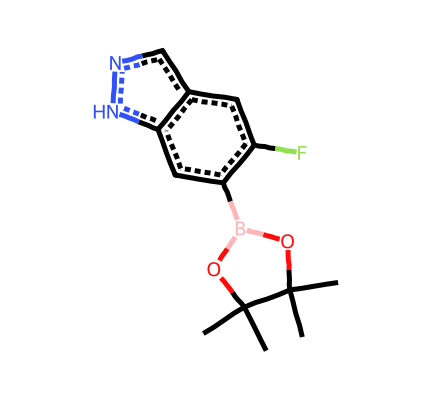 CC1(C)OB(c2cc3[nH]ncc3cc2F)OC1(C)C